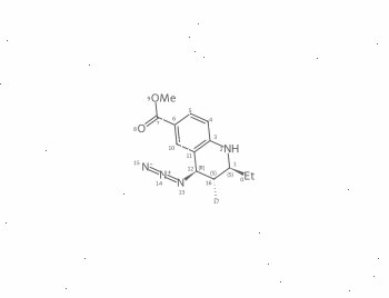 CC[C@@H]1Nc2ccc(C(=O)OC)cc2[C@H](N=[N+]=[N-])[C@H]1C